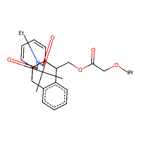 CCN1C(=O)C2C3c4ccccc4C(COC(=O)COC(C)C)(C4C=CC=CC34)C2C1=O